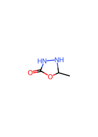 CC1NNC(=O)O1